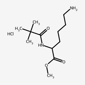 COC(=O)C(CCCCN)NC(=O)C(C)(C)C.Cl